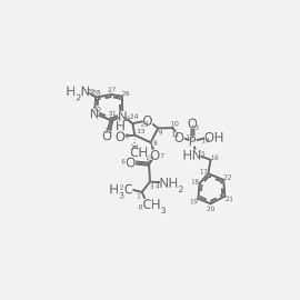 CC(C)C(N)C(=O)O[C@@H]1C(COP(=O)(O)NCc2ccccc2)OC(n2ccc(N)nc2=O)[C@]1(C)O